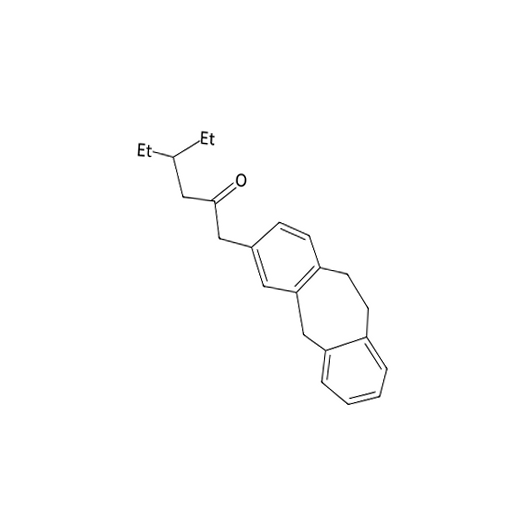 CCC(CC)CC(=O)Cc1ccc2c(c1)Cc1ccccc1CC2